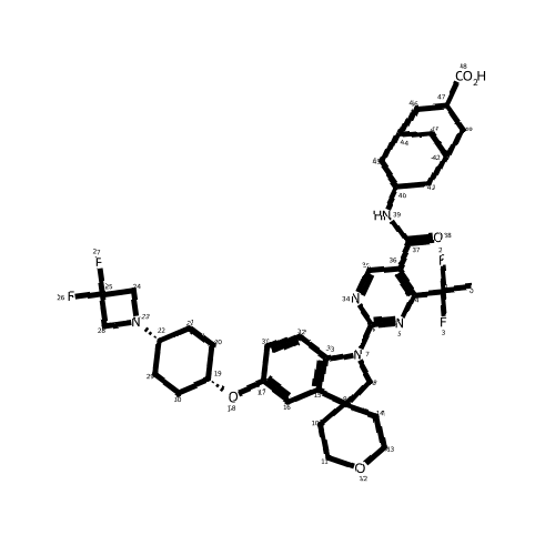 CC(F)(F)c1nc(N2CC3(CCOCC3)c3cc(O[C@H]4CC[C@@H](N5CC(F)(F)C5)CC4)ccc32)ncc1C(=O)NC1CC2CC(C1)CC(C(=O)O)C2